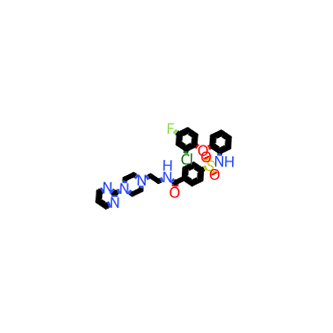 O=C(NCCN1CCN(c2ncccn2)CC1)c1ccc(S(=O)(=O)Nc2ccccc2Oc2ccc(F)cc2Cl)cc1